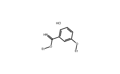 CCOC(=N)c1cccc(OCC)c1.Cl